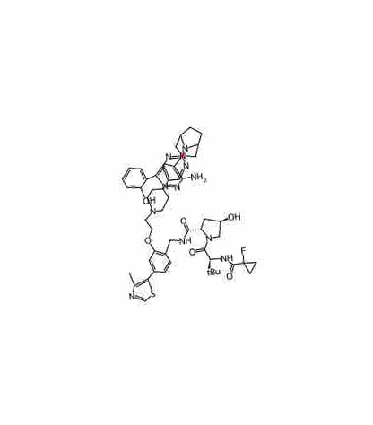 Cc1ncsc1-c1ccc(CNC(=O)[C@@H]2C[C@@H](O)CN2C(=O)[C@@H](NC(=O)C2(F)CC2)C(C)(C)C)c(OCCN2CCC(c3cnc(N4C5CCC4CN(c4cc(-c6ccccc6O)nnc4N)C5)nc3)CC2)c1